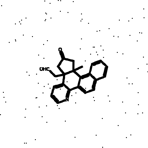 CC12CC(=O)CC1(CC=O)c1cccnc1-c1ccc3ccccc3c12